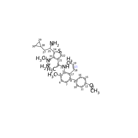 C=C(Nc1c(C)ccc(-c2ccc(OC)cc2)c1/C=C\C)c1csc(C(N)CC2CC2)c1N(C)N